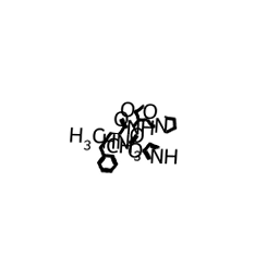 CC(C)(Cc1ccccc1)C[C@H](NC(=O)Oc1cc[nH]c1)C(=O)NC1C(=O)COC1CN1CCCC1